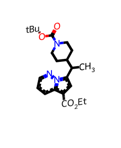 CCOC(=O)c1cc(C(C)C2CCN(C(=O)OC(C)(C)C)CC2)n2ncccc12